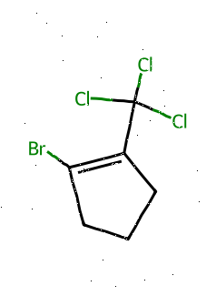 ClC(Cl)(Cl)C1=C(Br)CCC1